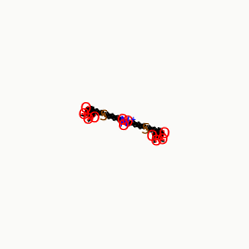 COC1=C(OC)C(=O)C(CCCSCCCCCCO[N+](=O)OCCCCCCSCCCC2=C(C)C(=O)C(OC)=C(OC)C2=O)=C(C)C1=O